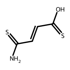 NC(=S)C=CC(O)=S